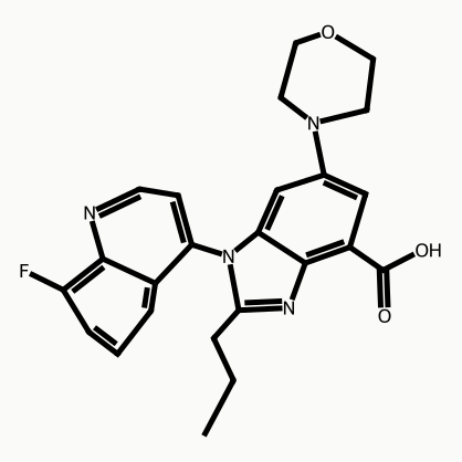 CCCc1nc2c(C(=O)O)cc(N3CCOCC3)cc2n1-c1ccnc2c(F)cccc12